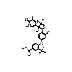 Cc1cc(C(O)(C(C)c2ccc(Oc3ccc(C(=O)O)cc3C(F)(F)F)cc2Cl)C(F)(F)F)cn(C)c1=O